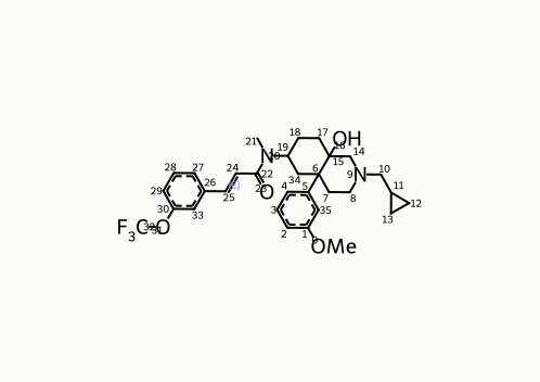 COc1cccc(C23CCN(CC4CC4)CC2(O)CCC(N(C)C(=O)/C=C/c2cccc(OC(F)(F)F)c2)C3)c1